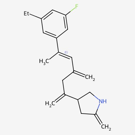 C=C(/C=C(\C)c1cc(F)cc(CC)c1)CC(=C)C1CNC(=C)C1